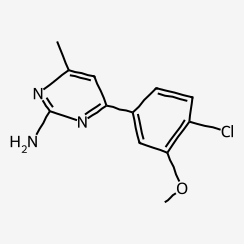 COc1cc(-c2cc(C)nc(N)n2)ccc1Cl